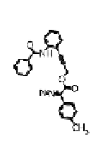 Cc1ccc(C(=[N+]=[N-])C(=O)OCC#Cc2ccccc2NC(=O)c2ccccc2)cc1